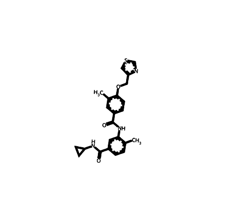 Cc1ccc(C(=O)NC2CC2)cc1NC(=O)c1ccc(OCc2cscn2)c(C)c1